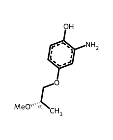 CO[C@@H](C)COc1ccc(O)c(N)c1